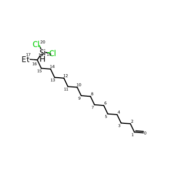 C=CCCCCCCCCCCCCCCC(CC)[SiH](Cl)Cl